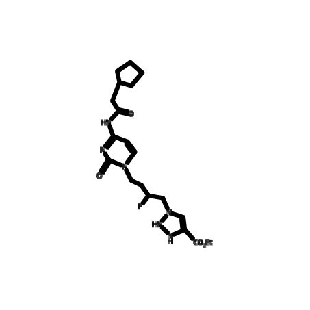 CCOC(=O)C1=CN(CC(F)CCn2ccc(NC(=O)CC3CCCC3)nc2=O)NN1